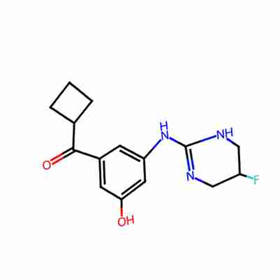 O=C(c1cc(O)cc(NC2=NCC(F)CN2)c1)C1CCC1